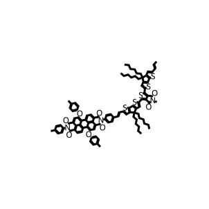 C/C=C/c1cc2c(s1)-c1sc(-c3sc(-c4cc5c(s4)-c4sc(/C=C/c6ccc(N7C(=O)c8ccc9c%10c(Oc%11ccc(C)cc%11)cc%11c%12c(ccc(c%13c(Oc%14ccc(C)cc%14)cc(c8c9%13)C7=O)c%12%10)C(=O)N(c7ccc(C)cc7)C%11=O)cc6)cc4C5(CCCCCC)CCCCCC)c4c3C(=O)N(C)C4=O)cc1C2(CCCCCC)CCCCCC